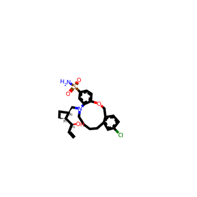 C=C[C@H](O)[C@@H]1CC[C@H]1CN1CCCCc2cc(Cl)ccc2COc2ccc(S(N)(=O)=O)cc21